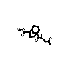 COC(=O)C1CCC2(C(=O)NCC(C)O)CCCC1C2